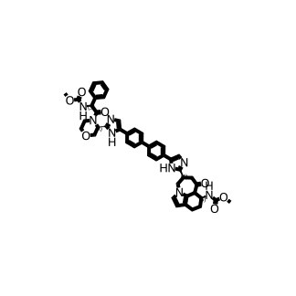 COC(=O)N[C@H](C(=O)N1CCOC[C@H]1c1ncc(-c2ccc(-c3ccc(-c4cnc([C@H]5CC(=O)C6c7c(ccn7C5)CC[C@@H]6NC(=O)OC)[nH]4)cc3)cc2)[nH]1)c1ccccc1